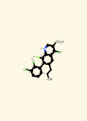 N#CCCc1cc2c(Cl)c(C(=O)O)cnc2c(F)c1-c1cccc(Cl)c1Cl